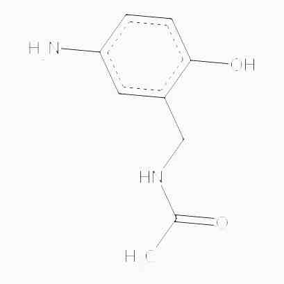 CC(=O)NCc1cc(N)ccc1O